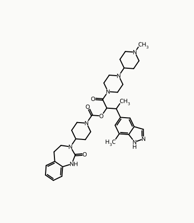 Cc1cc(C(C)C(OC(=O)N2CCC(N3CCc4ccccc4NC3=O)CC2)C(=O)N2CCN(C3CCN(C)CC3)CC2)cc2cn[nH]c12